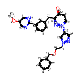 CCOc1cnc(-c2cccc(Cc3nn(-c4cnn(CCOCc5ccccc5)c4)ccc3=O)c2)nc1